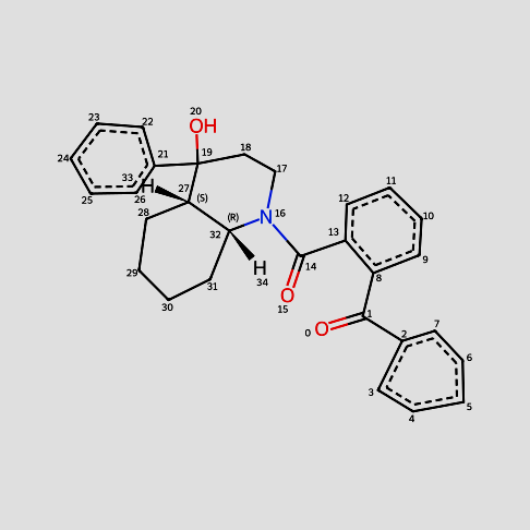 O=C(c1ccccc1)c1ccccc1C(=O)N1CCC(O)(c2ccccc2)[C@H]2CCCC[C@H]21